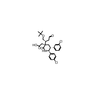 CC(C)(C)OC[C@@H](CC=O)[C@]1(CC(=O)O)C[C@H](c2cccc(Cl)c2)[C@@H](c2ccc(Cl)cc2)NC1=O